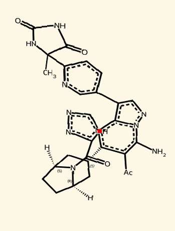 CC(=O)c1c([C@@H]2C[C@H]3CC[C@@H](C2)N3C(=O)c2nnc[nH]2)nc2c(-c3ccc(C4(C)NC(=O)NC4=O)nc3)cnn2c1N